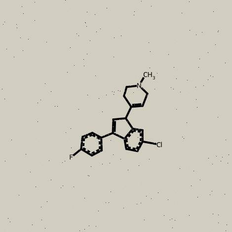 CN1CC=C(C2C=C(c3ccc(F)cc3)c3ccc(Cl)cc32)CC1